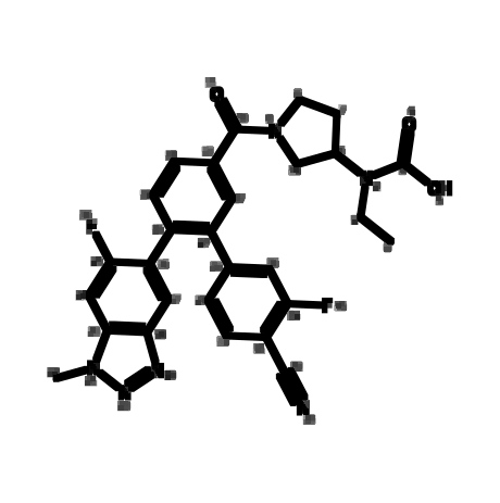 CCN(C(=O)O)C1CCN(C(=O)c2ccc(-c3cc4nnn(C)c4cc3F)c(-c3ccc(C#N)c(F)c3)c2)C1